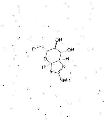 CNC1=N[C@@H]2[C@@H](O)[C@H](O)[C@@H](CF)O[C@@H]2S1